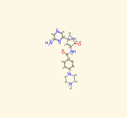 CN1CCN(c2ccc(C(=O)NC3=CC4(c5cncc(N)n5)CN4C3=O)cc2)CC1